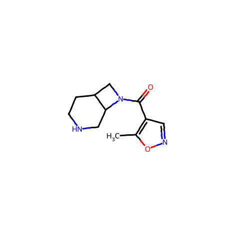 Cc1oncc1C(=O)N1CC2CCNCC21